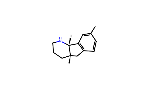 Cc1ccc2c(c1)[C@H]1NCCC[C@@]1(C)C2